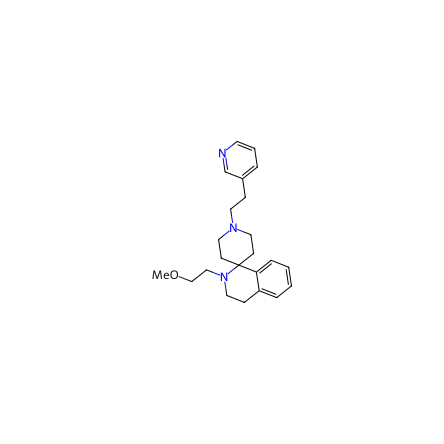 COCCN1CCc2ccccc2C12CCN(CCc1cccnc1)CC2